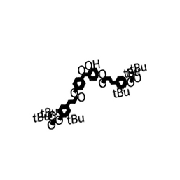 CC(C)(C)OC(=O)Oc1c(C(C)(C)C)cc(CCC(=O)Oc2ccc(C(=O)c3ccc(OC(=O)CCc4cc(C(C)(C)C)c(OC(=O)OC(C)(C)C)c(C(C)(C)C)c4)cc3O)cc2)cc1C(C)(C)C